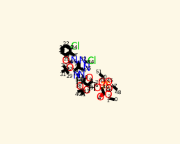 CCOC(=O)C(OC[C@H]1OC(n2ncc3c(N(Cc4ccccc4Cl)C(=O)OC(C)(C)C)nc(Cl)nc32)[C@@H]2OC(C)(C)O[C@H]12)P(=O)(OCC)OCC